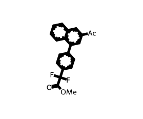 COC(=O)C(F)(F)c1ccc(-c2cc(C(C)=O)cc3ccccc23)cc1